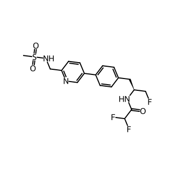 CS(=O)(=O)NCc1ccc(-c2ccc(C[C@@H](CF)NC(=O)C(F)F)cc2)cn1